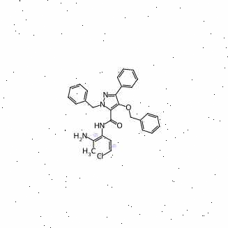 C/C(N)=C(\C=C/Cl)NC(=O)c1c(OCc2ccccc2)c(-c2ccccc2)nn1Cc1ccccc1